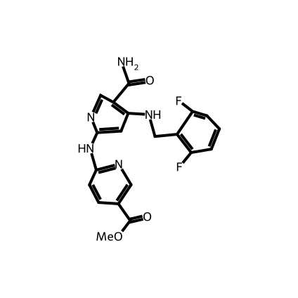 COC(=O)c1ccc(Nc2cc(NCc3c(F)cccc3F)c(C(N)=O)cn2)nc1